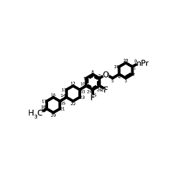 CCCC1C=CC(COc2ccc(C3CCC(C4CCC(C)CC4)CC3)c(F)c2F)CC1